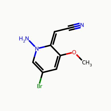 COC1=CC(Br)=CN(N)/C1=C/C#N